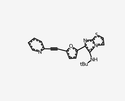 CC(C)(C)Nc1c(-c2ccc(C#Cc3ccccn3)o2)nc2sccn12